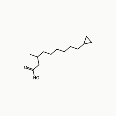 CC(CCCCCCC1CC1)CC(=O)N=O